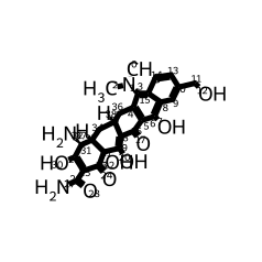 CN(C)c1c2c(c(O)c3cc(CO)ccc13)C(=O)C1=C(O)[C@]3(O)C(=O)C(C(N)=O)=C(O)[C@@H](N)[C@@H]3C[C@@H]1C2